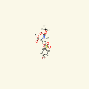 COC(=O)[C@@H]1C[C@@H](OS(=O)(=O)c2ccc(Br)cc2)CN1C(=O)OC(C)(C)C